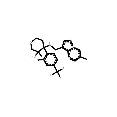 Cc1cnc2c(CNC3(c4ccc(C(F)(F)F)cc4F)CCOCC3(C)O)cnn2c1